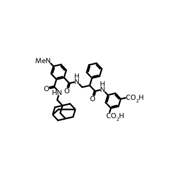 CNc1ccc(C(=O)NCC(C(=O)Nc2cc(C(=O)O)cc(C(=O)O)c2)c2ccccc2)c(C(=O)NCC23CC4CC(CC(C4)C2)C3)c1